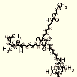 COCCOC(=O)NCCCCCCN1C(=O)N(CCCCCCNC(=O)OC(C)(C)CN2CC2C)C(O)N(CCCCCCNC(=O)OC(C)(C)CN2CC2C)C1=O